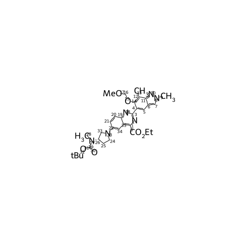 CCOC(=O)c1nc(-c2cc3cn(C)nc3c(C)c2OCOC)nc2ccc(N3CC[C@H](N(C)C(=O)OC(C)(C)C)C3)cc12